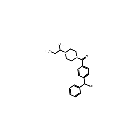 CCC(C)N1CCN(C(=O)c2ccc(C(N)c3ccccc3)cc2)CC1